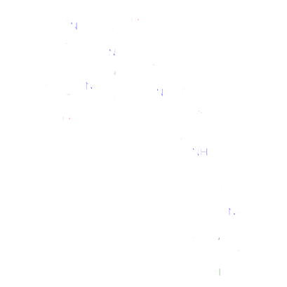 O=c1ccc2ncc(=O)n3c2n1C[C@H]3CN1CCC(NCc2ccc(CF)nc2)CC1